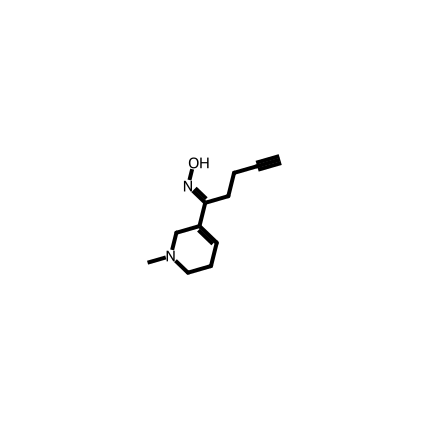 C#CCCC(=NO)C1=CCCN(C)C1